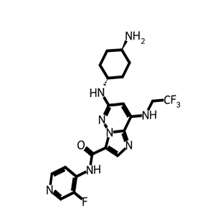 N[C@H]1CC[C@H](Nc2cc(NCC(F)(F)F)c3ncc(C(=O)Nc4ccncc4F)n3n2)CC1